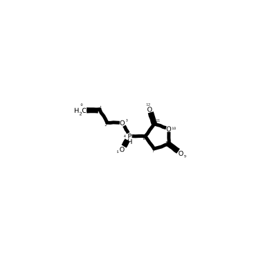 C=CCO[PH](=O)C1CC(=O)OC1=O